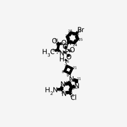 CC(NP(=O)(OC[C@H]1C[C@@H](n2cnc3c(Cl)nc(N)nc32)C1)Oc1ccc(Br)cc1)C(=O)O